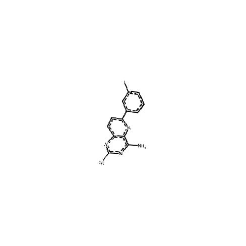 [2H]c1nc(N)c2nc(-c3cccc(I)c3)ccc2n1